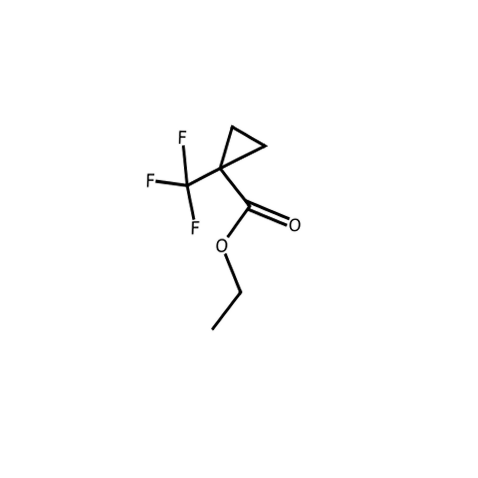 CCOC(=O)C1(C(F)(F)F)CC1